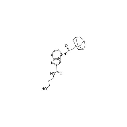 O=C(CC12CC3CC(CC(C3)C1)C2)Nc1cccc2nc(C(=O)NCCCO)cn12